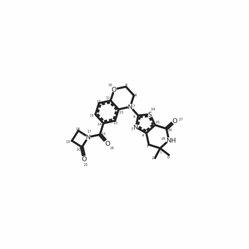 CC1(C)Cc2nc(N3CCOc4ccc(C(=O)N5CCC5=O)cc43)sc2C(=O)N1